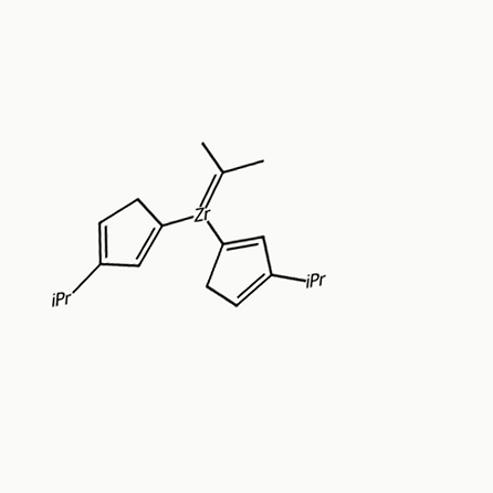 C[C](C)=[Zr]([C]1=CC(C(C)C)=CC1)[C]1=CC(C(C)C)=CC1